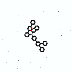 c1ccc(-c2ccc(-c3ccccc3N(c3ccc(-c4ccc(-c5ccccc5)c(-c5ccccc5)c4)cc3)c3ccc4ccccc4c3)cc2)cc1